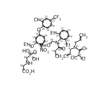 C=CCN(CC=C)C(=O)C(Cl)Cl.CCOc1cc(Oc2ccc(C(F)(F)F)cc2Cl)ccc1[N+](=O)[O-].CCc1cccc(CC)c1N(COC)C(=O)CCl.O=C(O)CNCP(=O)(O)O